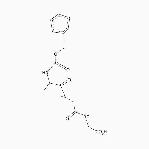 CC(NC(=O)OCc1ccccc1)C(=O)NCC(=O)NCC(=O)O